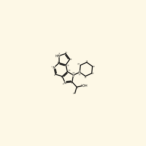 CC(O)c1nc2cnc3[nH]ccc3c2n1N1CCCCC1